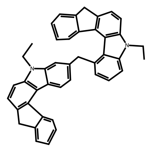 CCn1c2cc(Cc3cccc4c3c3c5c(ccc3n4CC)Cc3ccccc3-5)ccc2c2c3c(ccc21)Cc1ccccc1-3